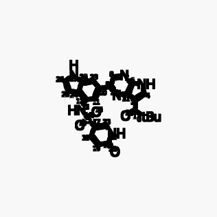 CC(C)(C)C(=O)c1c[nH]c2ncc(-c3cc(NS(=O)(=O)c4ccc(=O)[nH]c4)c4cc[nH]c4c3)nc12